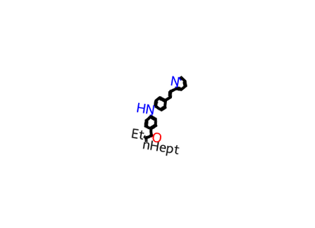 CCCCCCCC(CC)C(=O)c1ccc(Nc2ccc(/C=C/c3ccccn3)cc2)cc1